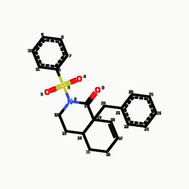 O=C1N(S(=O)(=O)c2ccccc2)CCC2CCC=CC12Cc1ccccc1